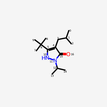 CC(C)Cc1c(C(C)(C)C)[nH]n(C(C)C)c1=O